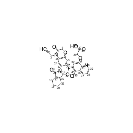 C#CCN1C(=O)COc2cc(F)c(N3C(=O)C4=C(CCCC4)C3=O)cc21.O=C(O)COc1ccc(Cl)c2cccnc12